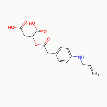 C=CCNc1ccc(CC(=O)OC(CC(=O)O)C(=O)O)cc1